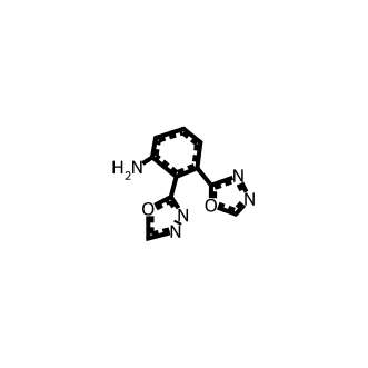 Nc1cccc(-c2nnco2)c1-c1nnco1